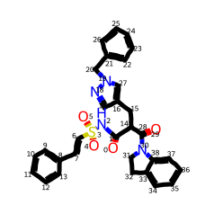 O=C(NS(=O)(=O)C=Cc1ccccc1)C(Cc1cnn(Cc2ccccc2)c1)C(=O)N1CCc2ccccc21